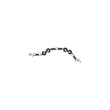 CCCCOC[C@H]1CC[C@H]([C@H]2CC[C@H](CC=CCOCC=CC[C@H]3CC[C@H]([C@H]4CC[C@H](COCCCC)CC4)CC3)CC2)CC1